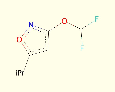 CC(C)c1cc(OC(F)F)no1